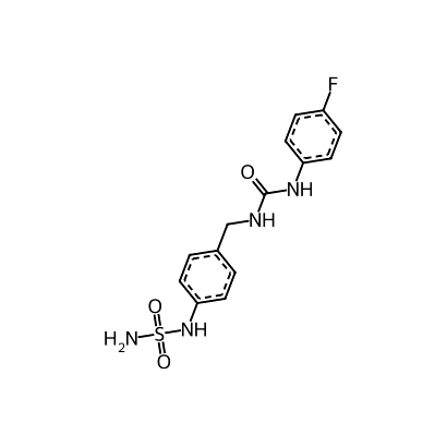 NS(=O)(=O)Nc1ccc(CNC(=O)Nc2ccc(F)cc2)cc1